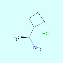 Cl.N[C@H](C1CCC1)C(F)(F)F